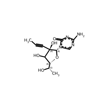 CC#C[C@@]1(O)C(O)[C@@H]([C@H](C)O)O[C@H]1n1cnc(N)nc1=O